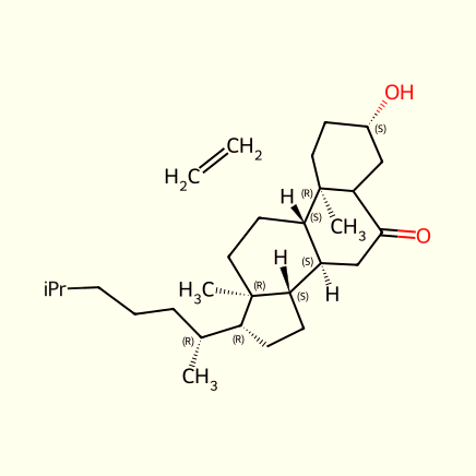 C=C.CC(C)CCC[C@@H](C)[C@H]1CC[C@H]2[C@@H]3CC(=O)C4C[C@@H](O)CC[C@]4(C)[C@H]3CC[C@]12C